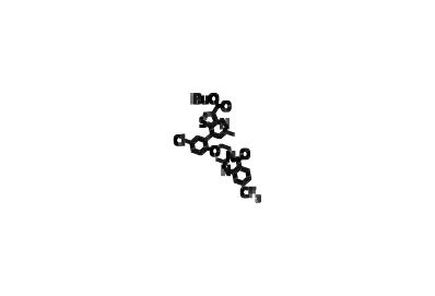 Cc1cc(-c2cc(Cl)ccc2OCCn2c(C)nc3cc(C(F)(F)F)ccc3c2=O)c2scc(C(=O)OCC(C)C)c2n1